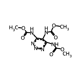 COC(=O)Nc1nnnc(NC(=O)OC)c1NC(=O)OC